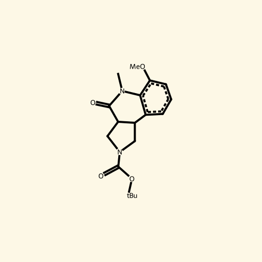 COc1cccc2c1N(C)C(=O)C1CN(C(=O)OC(C)(C)C)CC21